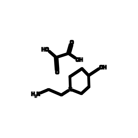 NCCN1CCC(O)CC1.O=C(O)C(=O)O